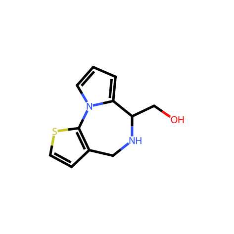 OCC1NCc2ccsc2-n2cccc21